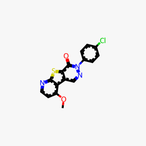 COc1ccnc2sc3c(=O)n(-c4ccc(Cl)cc4)ncc3c12